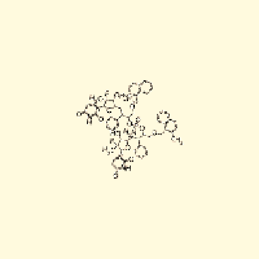 Cc1ccc2ccccc2c1COCC(OP(N)(=O)OC(COCc1c(C)ccc2ccccc12)C(C[C@H]1O[C@@H](n2ccc(=O)[nH]c2=O)[C@](C)(F)[C@@H]1O)c1ccccc1)C(C[C@H]1O[C@@H](n2ccc(=O)[nH]c2=O)[C@](C)(F)[C@@H]1O)c1ccccc1